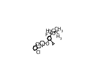 CC(C)(C)OC(=O)c1cc(C2CC2)c(OC2CCCN(Cc3c(Cl)cccc3Cl)C2)cc1F